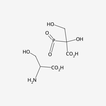 NC(CO)C(=O)O.O=C(O)C(O)(CO)P(=O)=O